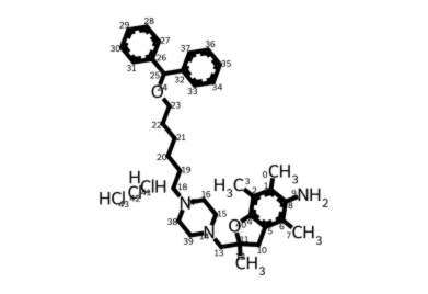 Cc1c(C)c2c(c(C)c1N)CC(C)(CN1CCN(CCCCCCOC(c3ccccc3)c3ccccc3)CC1)O2.Cl.Cl.Cl